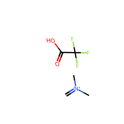 C=[N+](C)C.O=C(O)C(F)(F)F